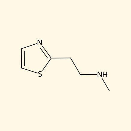 CNCCc1nccs1